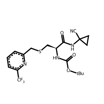 CC(C)(C)OC(=O)N[C@@H](CSCc1cccc(C(F)(F)F)n1)C(=O)NC1(C#N)CC1